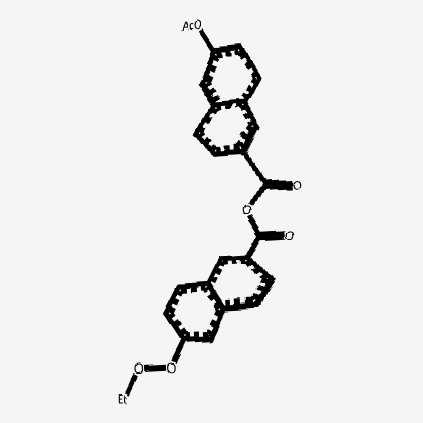 CCOOc1ccc2cc(C(=O)OC(=O)c3ccc4cc(OC(C)=O)ccc4c3)ccc2c1